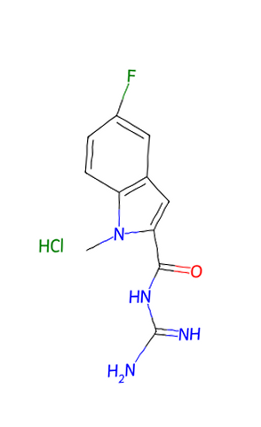 Cl.Cn1c(C(=O)NC(=N)N)cc2cc(F)ccc21